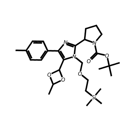 Cc1ccc(-c2nc(C3CCCN3C(=O)OC(C)(C)C)n(COCC[Si](C)(C)C)c2C2OC(C)O2)cc1